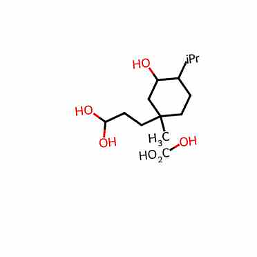 CC(C)C1CCC(C)(CCC(O)O)CC1O.O=C(O)O